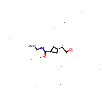 COCNC(=O)[C@H]1C[C@@H](CCO)C1